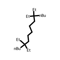 CCCCC(CC)(CC)CCCCCC(CC)(CC)CCCC